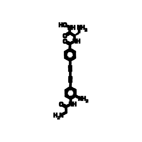 NCC(=O)Nc1ccc(C#CC#Cc2ccc(C(=O)N[C@@H](CN)C(=O)NO)cc2)cc1N